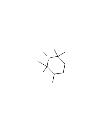 CCC1(C)CCC(C)C(C)(CC)N1OC(C)=O